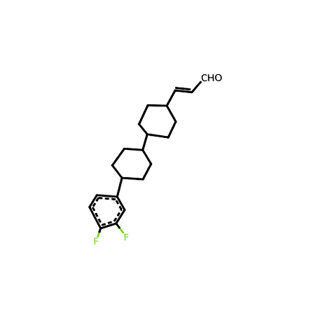 O=CC=CC1CCC(C2CCC(c3ccc(F)c(F)c3)CC2)CC1